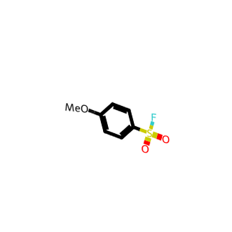 COc1ccc(S(=O)(=O)F)cc1